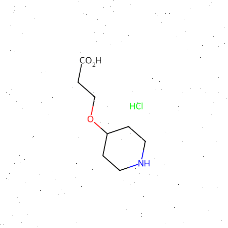 Cl.O=C(O)CCOC1CCNCC1